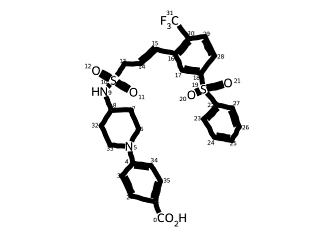 O=C(O)c1ccc(N2CCC(NS(=O)(=O)CC=Cc3cc(S(=O)(=O)c4ccccc4)ccc3C(F)(F)F)CC2)cc1